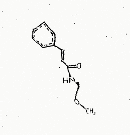 COCNC(=O)C=Cc1ccccc1